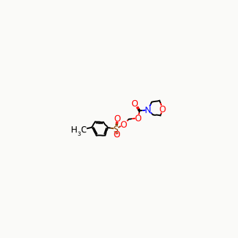 Cc1ccc(S(=O)(=O)OCOC(=O)N2CCOCC2)cc1